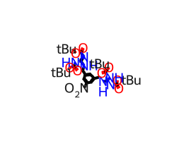 CC(C)(C)OC(=O)N=C(NCc1cc(CNC(=NC(=O)OC(C)(C)C)NC(=O)OC(C)(C)C)cc([N+](=O)[O-])c1)NC(=O)OC(C)(C)C